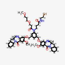 COCCCOCCC(=O)N(CCCC(=O)NCCS)c1cc(COc2cc3c(cc2OC)C(=O)N2c4ccccc4C[C@H]2C=N3)cc(COc2cc3c(cc2OC)C(=O)N2c4ccccc4C[C@H]2C=N3)c1